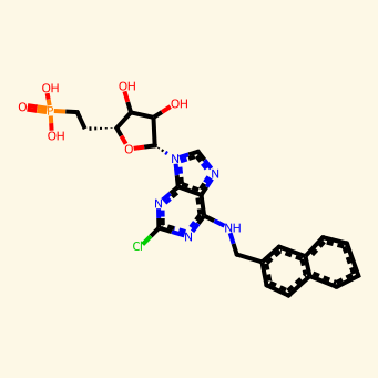 O=P(O)(O)CC[C@H]1O[C@@H](n2cnc3c(NCc4ccc5ccccc5c4)nc(Cl)nc32)C(O)C1O